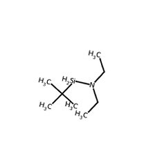 CCN(CC)[SiH2]C(C)(C)C